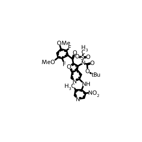 COc1cc(OC)c(F)c(C(=O)c2oc3cnc(Nc4c(C)cncc4[N+](=O)[O-])cc3c2N(C(=O)OC(C)(C)C)S(C)(=O)=O)c1F